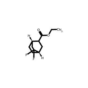 CCOC(=O)C1C[C@@H]2CC[C@H]1CC2(F)F